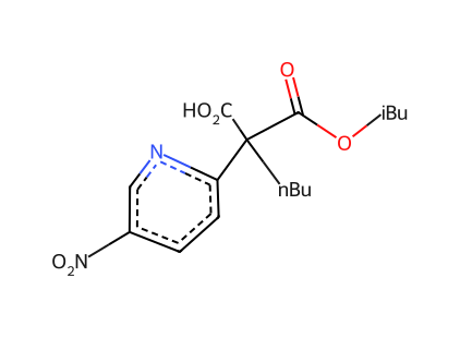 CCCCC(C(=O)O)(C(=O)OC(C)CC)c1ccc([N+](=O)[O-])cn1